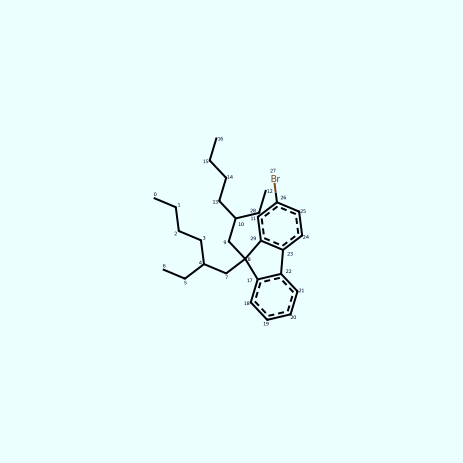 CCCCC(CC)CC1(CC(CC)CCCC)c2ccccc2-c2ccc(Br)cc21